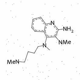 CNCCCCN(C)c1c(NC)c(N)nc2ccccc12